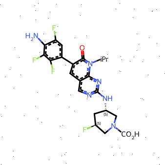 CC(C)n1c(=O)c(-c2cc(F)c(N)c(F)c2F)cc2cnc(N[C@H]3C[C@H](F)CN(C(=O)O)C3)nc21